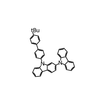 CC(C)(C)c1ccc(-c2ccc(-n3c4ccccc4c4ccc(-n5c6ccccc6c6ccccc65)cc43)cc2)cc1